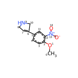 COc1ccc(C2=CCNC2)cc1[N+](=O)[O-]